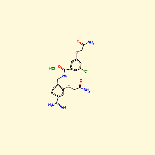 Cl.N=C(N)c1ccc(CNC(=O)c2cc(Cl)cc(OCC(N)=O)c2)c(OCC(N)=O)c1